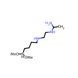 CO[SiH](CCCCNCCNC(C)N)OC